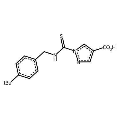 CC(C)(C)c1ccc(CNC(=S)n2cc(C(=O)O)cn2)cc1